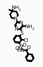 CC1(N)CCN(c2cnc(Sc3cccc(S(=O)(=O)NC(=O)c4ccccc4)c3Cl)c(N)n2)CC1